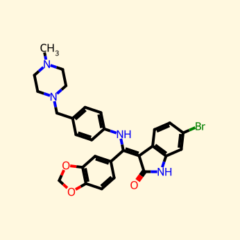 CN1CCN(Cc2ccc(NC(=C3C(=O)Nc4cc(Br)ccc43)c3ccc4c(c3)OCO4)cc2)CC1